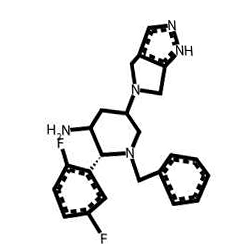 NC1CC(N2Cc3cn[nH]c3C2)CN(Cc2ccccc2)[C@@H]1c1cc(F)ccc1F